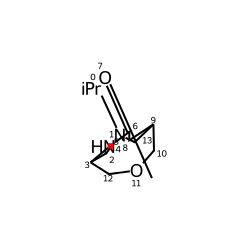 CC(C)N1CC2CNC(=O)CC(COC2)C1